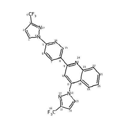 FC(F)(F)c1ccn(-c2ccc(-c3cc(-n4ccc(C(F)(F)F)n4)c4ccccc4n3)cc2)n1